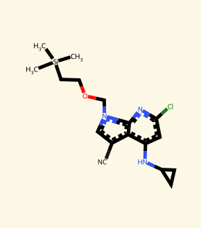 C[Si](C)(C)CCOCn1cc(C#N)c2c(NC3CC3)cc(Cl)nc21